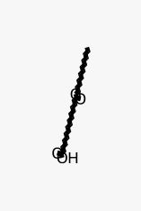 CCCCCCCCCCCCCCOC(=O)CCCCCCCCCCCCCCCCC(=O)O